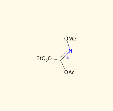 CCOC(=O)/C(=N\OC)OC(C)=O